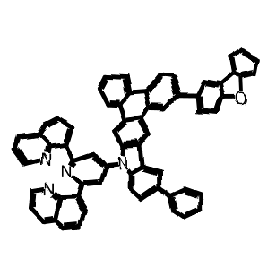 c1ccc(-c2ccc3c(c2)c2cc4c5cc(-c6ccc7oc8ccccc8c7c6)ccc5c5ccccc5c4cc2n3-c2cc(-c3cccc4cccnc34)nc(-c3cccc4cccnc34)c2)cc1